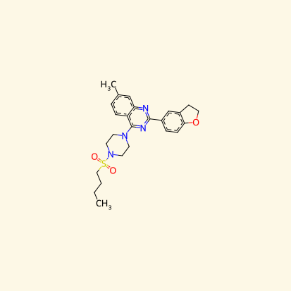 CCCCS(=O)(=O)N1CCN(c2nc(-c3ccc4c(c3)CCO4)nc3cc(C)ccc23)CC1